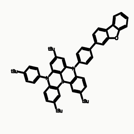 CC(C)(C)c1ccc(N2c3ccc(C(C)(C)C)cc3B3c4cc(C(C)(C)C)ccc4N(c4ccc(-c5ccc6c(c5)oc5ccccc56)cc4)c4cc(C(C)(C)C)cc2c43)cc1